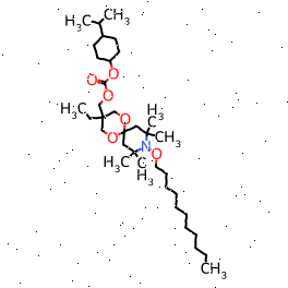 CCCCCCCCCCCON1C(C)(C)CC2(CC1(C)C)OCC(CC)(COC(=O)OC1CCC(C(C)C)CC1)CO2